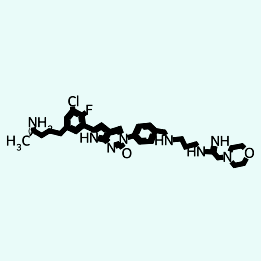 C[C@H](N)CCCc1cc(Cl)c(F)c(-c2cc3cn(-c4ccc(CNCCCNC(=N)CN5CCOCC5)cc4)c(=O)nc3[nH]2)c1